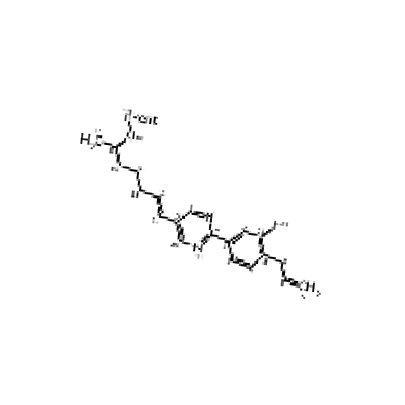 C=CCc1ccc(-c2ncc(C=CCCCC(C)OCCCCC)cn2)cc1F